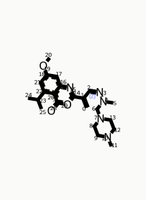 C=C(/C=N\N(C)CN1CCN(C)CC1)c1nc2cc(OC)cc(C(C)C)c2c(=O)o1